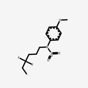 [CH2]CC(F)(F)CCCN(c1ccc(OC)cc1)[SH](=O)=O